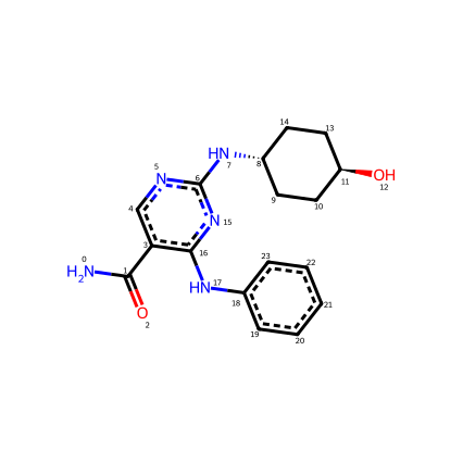 NC(=O)c1cnc(N[C@H]2CC[C@H](O)CC2)nc1Nc1ccccc1